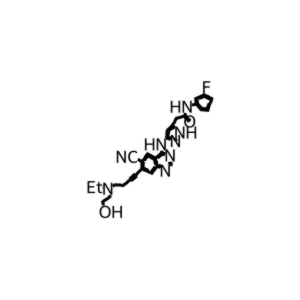 CCN(CCO)CCC#Cc1cc2ncnc(Nc3cc(CC(=O)Nc4cccc(F)c4)[nH]n3)c2cc1C#N